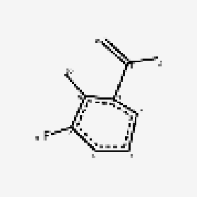 C=C(C)c1cccc(F)c1C